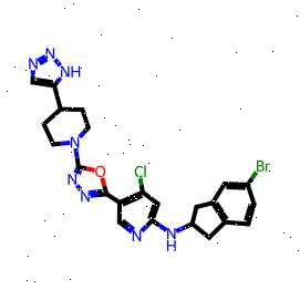 Clc1cc(NC2Cc3ccc(Br)cc3C2)ncc1-c1nnc(N2CCC(c3cnn[nH]3)CC2)o1